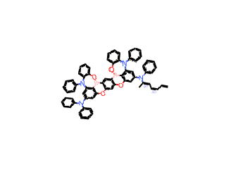 C=C/C=C\C=C(/C)N(c1ccccc1)c1cc2c3c(c1)N(c1ccccc1)c1ccccc1OB3c1cc3c(cc1O2)Oc1cc(N(c2ccccc2)c2ccccc2)cc2c1B3Oc1ccccc1N2c1ccccc1